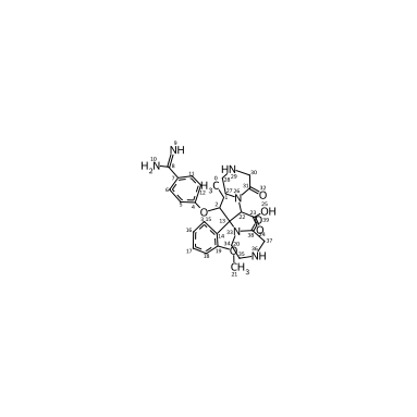 CCC(Oc1ccc(C(=N)N)cc1)C(c1ccccc1OC)(C(C(=O)O)N1CCNCC1=O)N1CCNCC1=O